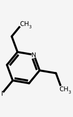 CCc1cc(I)cc(CC)n1